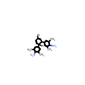 Cc1cc(C2C=C(C(C)C)C=CC2(c2cc(C)c(N)c(C)c2)C(C)C)cc(C)c1N